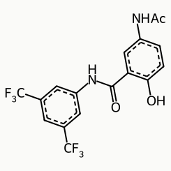 CC(=O)Nc1ccc(O)c(C(=O)Nc2cc(C(F)(F)F)cc(C(F)(F)F)c2)c1